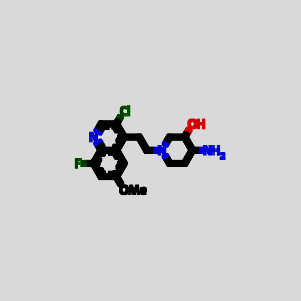 COc1cc(F)c2ncc(Cl)c(CCN3CCC(N)C(O)C3)c2c1